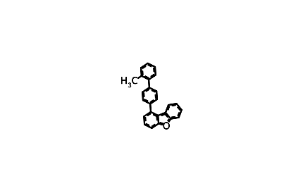 Cc1ccccc1-c1ccc(-c2cccc3oc4ccccc4c23)cc1